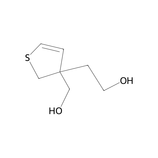 OCCC1(CO)C=CSC1